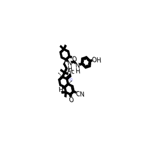 CC(=O)/C=C1/[C@@]2(C)C=C(C#N)C(=O)C(C)(C)[C@@H]2CC[C@@]1(C)C(C)(C)CC[C@@]1(NC(=O)Nc2ccc(O)cc2)CCC(C)(C)CC1C